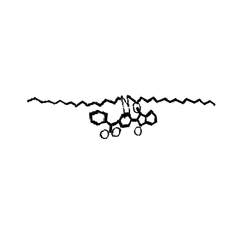 CCCCCCCCCCCCCCCCNCCCCCCCCCCCCCCCC.O=C1Oc2cc(=C3C(=O)c4ccccc4C3=O)ccc2=C1c1ccccc1